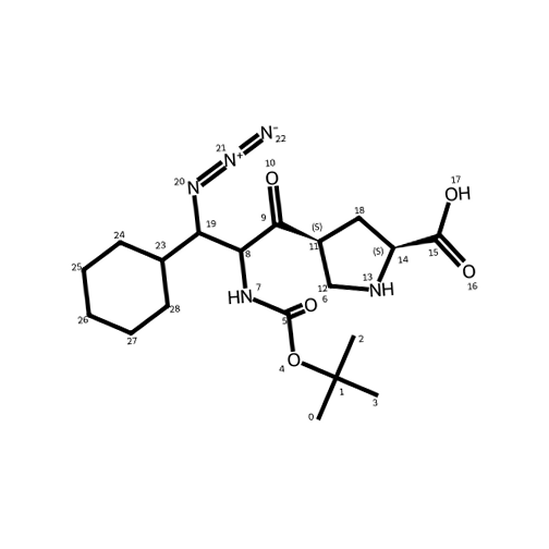 CC(C)(C)OC(=O)NC(C(=O)[C@@H]1CN[C@H](C(=O)O)C1)C(N=[N+]=[N-])C1CCCCC1